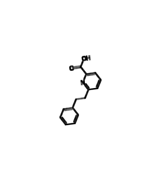 O=C(O)c1cccc(CCc2ccccc2)n1